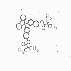 C=C(C)C(=O)OC1C=Cc2cc(C3(c4ccc5c(c4)CCC(OC(=O)C(=C)C)C5)C4=CCCC=C4C4C=CCCC43)ccc2C1